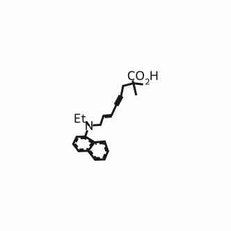 CCN(CC=CC#CCC(C)(C)C(=O)O)c1cccc2ccccc12